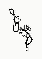 O=C(CN1CCC[C@H](NS(=O)(=O)c2nc3cc(Cl)ccc3s2)C1=O)N1CCCC1